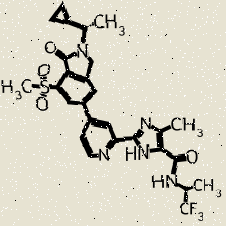 Cc1nc(-c2cc(-c3cc4c(c(S(C)(=O)=O)c3)C(=O)N([C@@H](C)C3CC3)C4)ccn2)[nH]c1C(=O)NC(C)C(F)(F)F